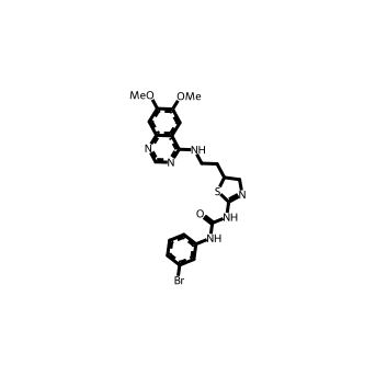 COc1cc2ncnc(NCCC3CN=C(NC(=O)Nc4cccc(Br)c4)S3)c2cc1OC